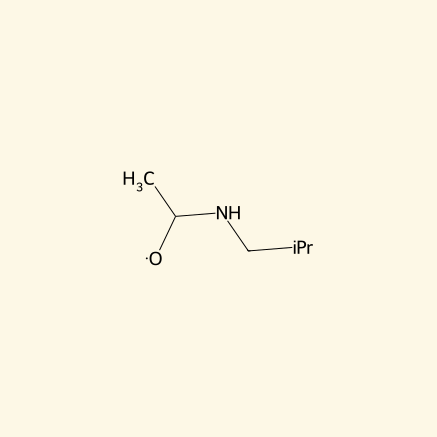 CC(C)CNC(C)[O]